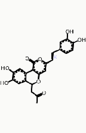 CC(=O)CC1Oc2cc(/C=C/c3ccc(O)c(O)c3)oc(=O)c2-c2cc(O)c(O)cc21